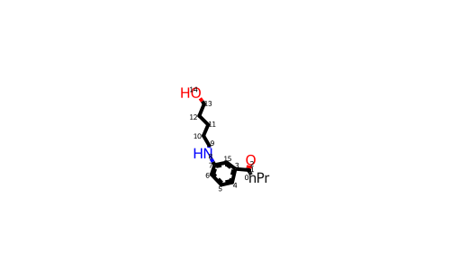 CCCC(=O)c1cccc(NCCCCCO)c1